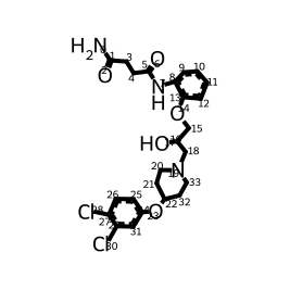 NC(=O)CCC(=O)Nc1ccccc1OCC(O)CN1CCC(Oc2ccc(Cl)c(Cl)c2)CC1